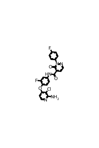 Nc1nccc(Oc2ccc(NC(=O)c3ccnn(-c4ccc(F)cc4)c3=O)cc2F)c1Cl